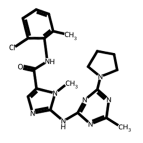 Cc1nc(Nc2ncc(C(=O)Nc3c(C)cccc3Cl)n2C)nc(N2CCCC2)n1